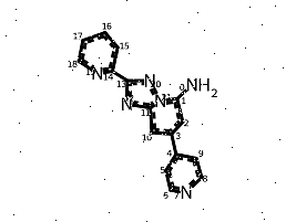 Nc1cc(-c2ccncc2)cc2nc(-c3ccccn3)nn12